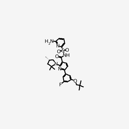 C[C@@H]1CN(c2nc(-c3cc(F)cc(OCC(C)(C)C)c3)ccc2C(=O)NS(=O)(=O)c2cccc(N)n2)C(C)(C)C1